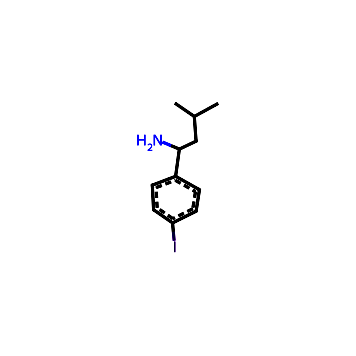 CC(C)CC(N)c1ccc(I)cc1